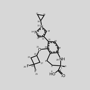 C[C@@]1(C(=O)O)CCc2c(ccc(-c3cnn(C4CC4)c3)c2OC2CC(F)(F)C2)N1